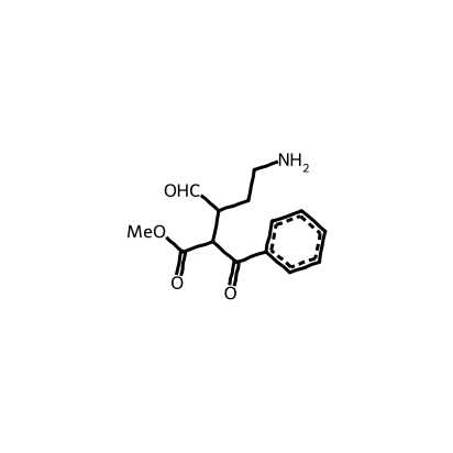 COC(=O)C(C(=O)c1ccccc1)C(C=O)CCN